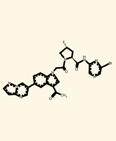 CC(=O)c1cn(CC(=O)N2C[C@H](F)C[C@H]2C(=O)Nc2cncc(Br)n2)c2ccc(-c3cnc4ccnn4c3)cc12